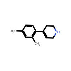 Cc1ccc(C2=CCNCC2)c(C)c1